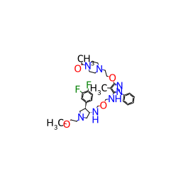 COCCN1C[C@@H](NCOCNc2c(C)c(OCCN3CCN(C(C)=O)CC3)nn2-c2ccccc2)[C@H](c2ccc(F)c(F)c2)C1